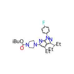 CCc1cc(N2CCN(C(=O)OCC(C)C)CC2)nc2c1c(C(CC)CC)nn2-c1ccc(F)cc1